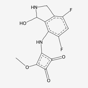 COc1c(Nc2c(F)cc(F)c3c2C(O)NC3)c(=O)c1=O